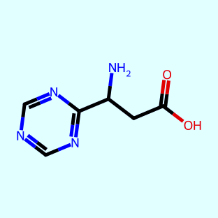 NC(CC(=O)O)c1ncncn1